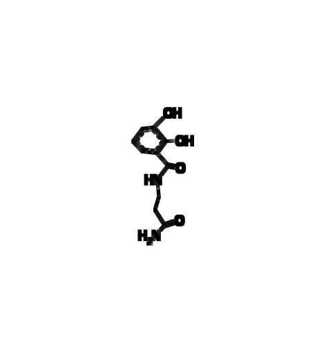 NC(=O)CCNC(=O)c1cccc(O)c1O